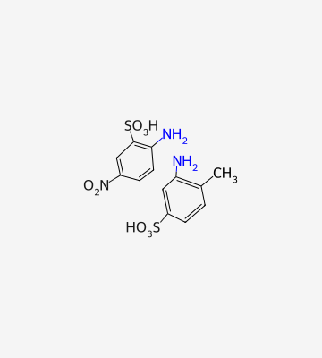 Cc1ccc(S(=O)(=O)O)cc1N.Nc1ccc([N+](=O)[O-])cc1S(=O)(=O)O